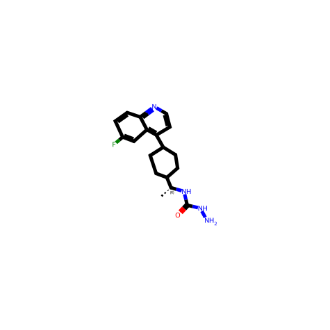 C[C@@H](NC(=O)NN)C1CCC(c2ccnc3ccc(F)cc23)CC1